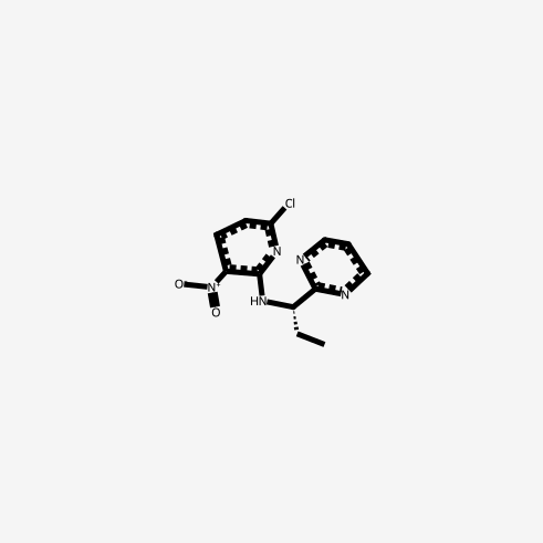 CC[C@H](Nc1nc(Cl)ccc1[N+](=O)[O-])c1ncccn1